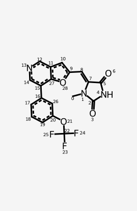 CN1C(=O)NC(=O)C1=Cc1cc2cncc(-c3cccc(OC(F)(F)F)c3)c2o1